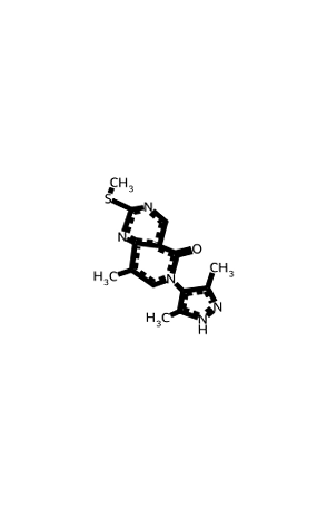 CSc1ncc2c(=O)n(-c3c(C)n[nH]c3C)cc(C)c2n1